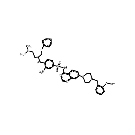 CC(C)Sc1ccccc1CN1CCN(c2ccc3c(NS(=O)(=O)c4ccc(NC(CCN(C)C)CSc5ccccc5)c([N+](=O)[O-])c4)ncnc3c2)CC1